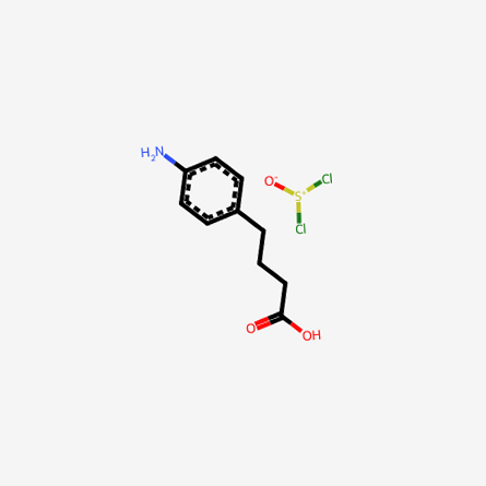 Nc1ccc(CCCC(=O)O)cc1.[O-][S+](Cl)Cl